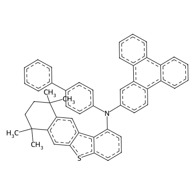 CC1(C)CCC(C)(C)c2cc3c(cc21)sc1cccc(N(c2ccc(-c4ccccc4)cc2)c2ccc4c5ccccc5c5ccccc5c4c2)c13